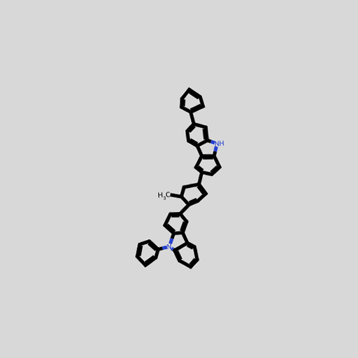 CC1CC(c2ccc3[nH]c4cc(-c5ccccc5)ccc4c3c2)=CC=C1c1ccc2c(c1)c1ccccc1n2-c1ccccc1